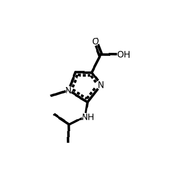 CC(C)Nc1nc(C(=O)O)cn1C